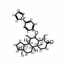 CC1C(Oc2ccc(-n3cccc3)cc2)C2N(C)C(=O)CC[C@]2(C)[C@@H]2CC[C@]3(C)CCC[C@H]3[C@H]12